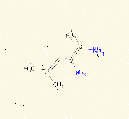 CC(C)=C/C(N)=C(\C)N